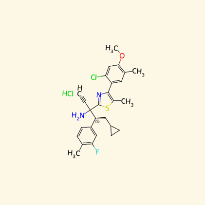 C#CC(N)(c1nc(-c2cc(C)c(OC)cc2Cl)c(C)s1)[C@@H](CC1CC1)c1ccc(C)c(F)c1.Cl